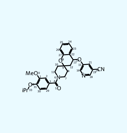 COc1cc(C(=O)N2CCC3(CC2)CC(Oc2cncc(C#N)c2)c2ccccc2O3)ccc1OC(C)C